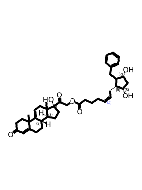 CC12CCC(=O)C=C1CC[C@@H]1C2=CCC2(C)[C@H]1CC[C@]2(O)C(=O)COC(=O)CCC/C=C\C[C@@H]1C(Cc2ccccc2)[C@H](O)C[C@@H]1O